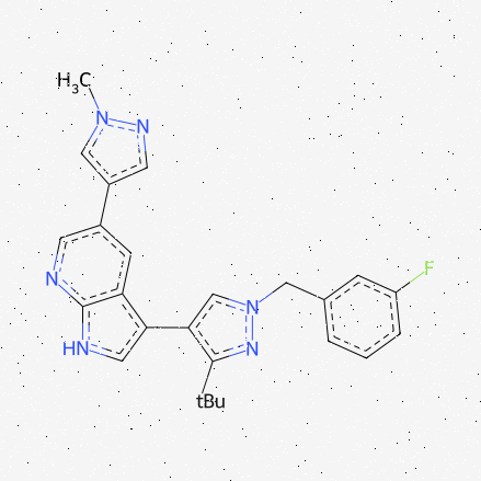 Cn1cc(-c2cnc3[nH]cc(-c4cn(Cc5cccc(F)c5)nc4C(C)(C)C)c3c2)cn1